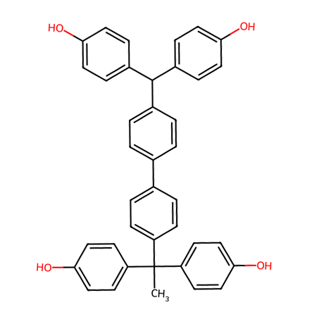 CC(c1ccc(O)cc1)(c1ccc(O)cc1)c1ccc(-c2ccc(C(c3ccc(O)cc3)c3ccc(O)cc3)cc2)cc1